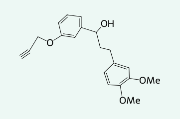 C#CCOc1cccc(C(O)CCc2ccc(OC)c(OC)c2)c1